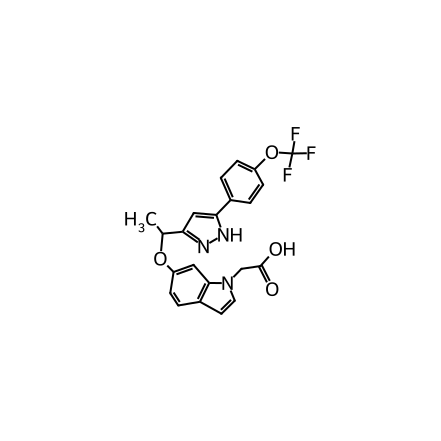 CC(Oc1ccc2ccn(CC(=O)O)c2c1)c1cc(-c2ccc(OC(F)(F)F)cc2)[nH]n1